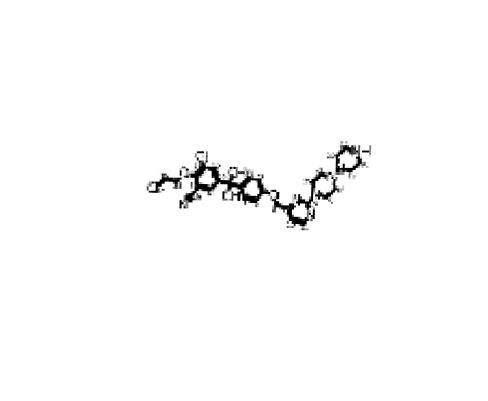 CC(C)(c1ccc(OCc2ccnc(N3CCN(N4CCNCC4)CC3)n2)cc1)c1cc(Cl)c(OCCCl)c(C#N)c1